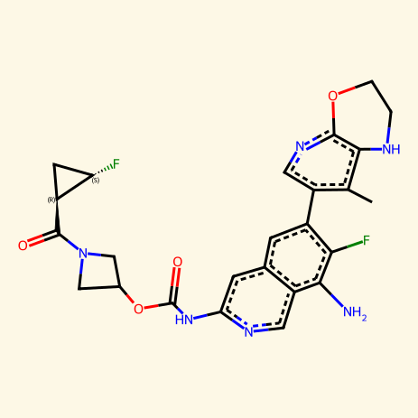 Cc1c(-c2cc3cc(NC(=O)OC4CN(C(=O)[C@H]5C[C@@H]5F)C4)ncc3c(N)c2F)cnc2c1NCCO2